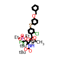 CCOP(=O)(OCC)C(F)(F)C(O)C(CCC(O[SiH](C)C)c1ccc(Sc2cccc(OCc3ccccc3)c2)cc1Cl)(NC(=O)OC(C)(C)C)C(C)(C)C